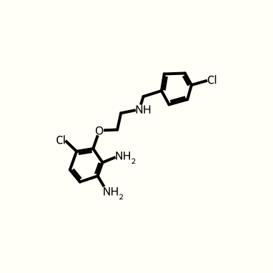 Nc1ccc(Cl)c(OCCNCc2ccc(Cl)cc2)c1N